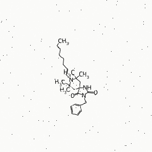 CCCCCCCCN1C(C)(C)CC2(CC1(C)C)NC(=O)N(Cc1ccccc1)C2=O